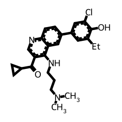 CCc1cc(-c2ccc3ncc(C(=O)C4CC4)c(NCCCN(C)C)c3c2)cc(Cl)c1O